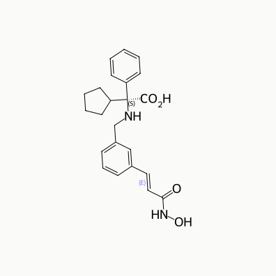 O=C(/C=C/c1cccc(CN[C@](C(=O)O)(c2ccccc2)C2CCCC2)c1)NO